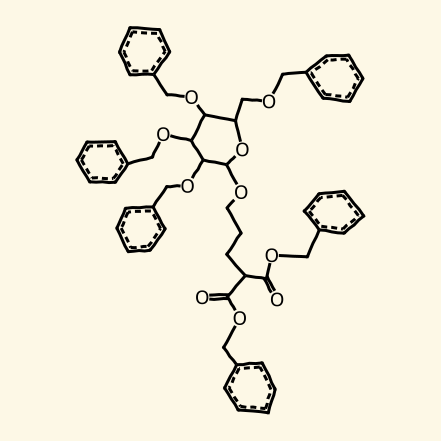 O=C(OCc1ccccc1)C(CCCOC1OC(COCc2ccccc2)C(OCc2ccccc2)C(OCc2ccccc2)C1OCc1ccccc1)C(=O)OCc1ccccc1